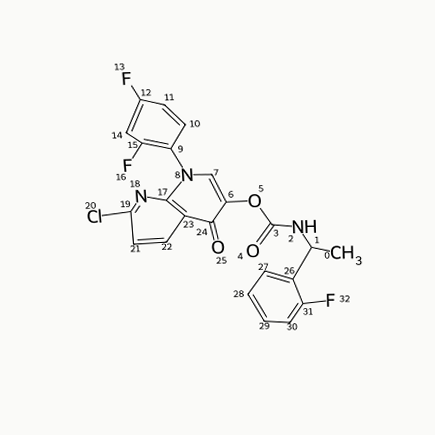 CC(NC(=O)Oc1cn(-c2ccc(F)cc2F)c2nc(Cl)ccc2c1=O)c1ccccc1F